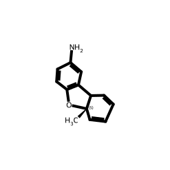 C[C@]12C=CC=CC1c1cc(N)ccc1O2